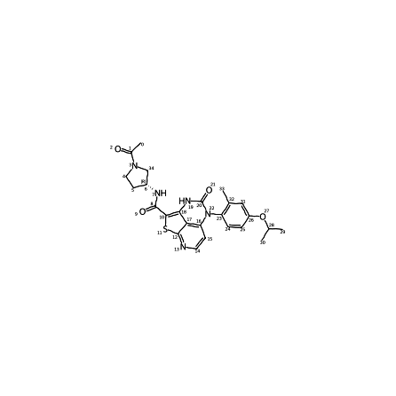 CC(=O)N1CC[C@@H](NC(=O)c2sc3nccc4c3c2NC(=O)N4c2ccc(OC(C)C)cc2C)C1